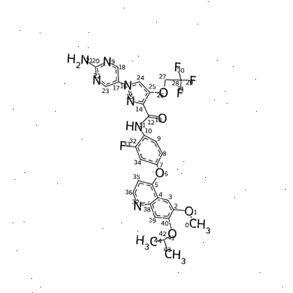 COc1cc2c(Oc3ccc(NC(=O)c4nn(-c5cnc(N)nc5)cc4OCC(F)(F)F)c(F)c3)ccnc2cc1OC(C)C